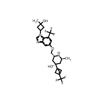 C[C@H]1C[C@@](O)(C23CC(C(F)(F)F)(C2)C3)C[C@@H](COc2cc(C(F)(F)F)c3c(c2)ncn3C2CC(C)(O)C2)N1